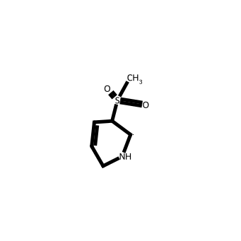 CS(=O)(=O)C1[CH]NCC=C1